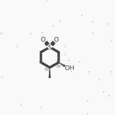 C[C@H]1CCS(=O)(=O)C[C@H]1O